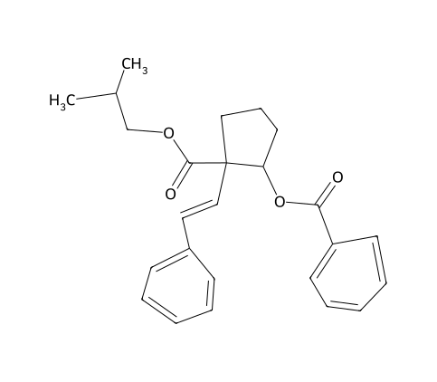 CC(C)COC(=O)C1(C=Cc2ccccc2)CCCC1OC(=O)c1ccccc1